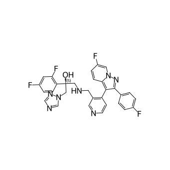 O[C@@](CNCc1cnccc1-c1c(-c2ccc(F)cc2)nn2cc(F)ccc12)(Cn1cncn1)c1ccc(F)cc1F